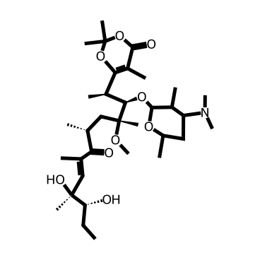 CC[C@@H](O)[C@@](C)(O)/C=C(\C)C(=O)[C@H](C)C[C@@](C)(OC)[C@H](OC1OC(C)CC(N(C)C)C1C)[C@@H](C)C1=C(C)C(=O)OC(C)(C)O1